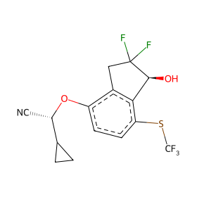 N#C[C@H](Oc1ccc(SC(F)(F)F)c2c1CC(F)(F)[C@H]2O)C1CC1